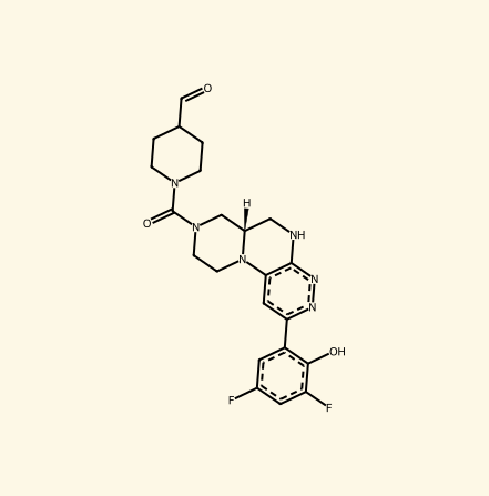 O=CC1CCN(C(=O)N2CCN3c4cc(-c5cc(F)cc(F)c5O)nnc4NC[C@H]3C2)CC1